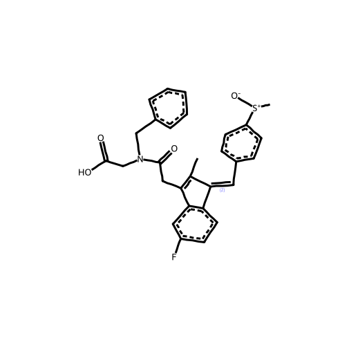 CC1=C(CC(=O)N(CC(=O)O)Cc2ccccc2)c2cc(F)ccc2/C1=C/c1ccc([S+](C)[O-])cc1